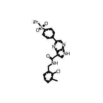 Cc1cccc(CNC(=O)c2c[nH]c3ncc(-c4ccc(S(=O)(=O)C(C)C)cc4)nc23)c1Cl